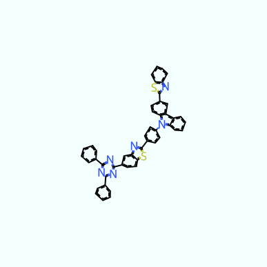 c1ccc(-c2nc(-c3ccccc3)nc(-c3ccc4sc(-c5ccc(-n6c7ccccc7c7cc(-c8nc9ccccc9s8)ccc76)cc5)nc4c3)n2)cc1